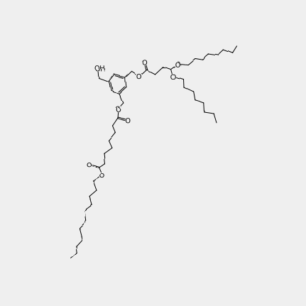 CCCCCCCCCCCOC(=O)CCCCCCC(=O)OCc1cc(CO)cc(COC(=O)CCC(OCCCCCCCC)OCCCCCCCC)c1